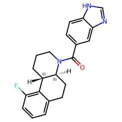 O=C(c1ccc2[nH]cnc2c1)N1CCC[C@H]2c3c(F)cccc3CC[C@@H]21